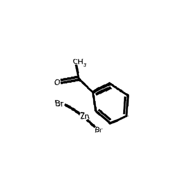 CC(=O)c1cc[c]cc1.[Br][Zn][Br]